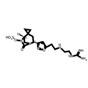 N=C(N)NCCNCCc1cc([C@@H]2CC3(CC3)[C@@H]3CN2C(=O)N3OS(=O)(=O)O)no1